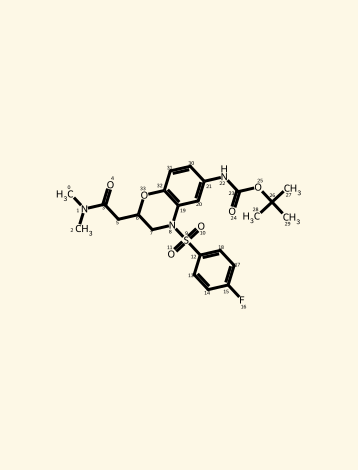 CN(C)C(=O)CC1CN(S(=O)(=O)c2ccc(F)cc2)c2cc(NC(=O)OC(C)(C)C)ccc2O1